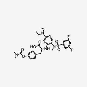 CCN(CC)c1ncc(N(C)S(=O)(=O)c2cc(F)cc(F)c2)c(NC(Cc2ccc(OC(=O)N(C)C)cc2)C(=O)O)n1